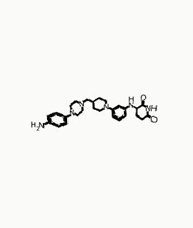 Nc1ccc(N2CCN(CC3CCN(c4cccc(NC5CCC(=O)NC5=O)c4)CC3)CC2)cc1